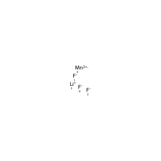 [F-].[F-].[F-].[Li+].[Mn+2]